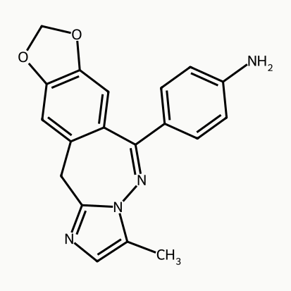 Cc1cnc2n1N=C(c1ccc(N)cc1)c1cc3c(cc1C2)OCO3